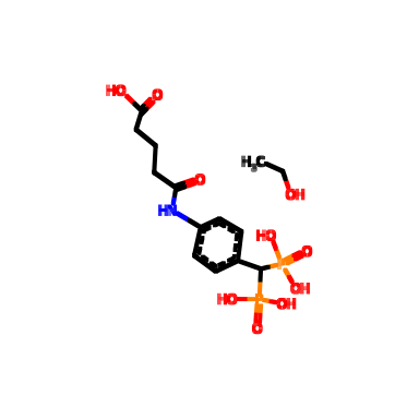 CCO.O=C(O)CCCC(=O)Nc1ccc(C(P(=O)(O)O)P(=O)(O)O)cc1